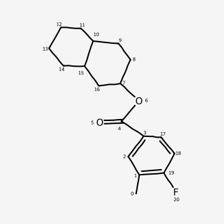 Cc1cc(C(=O)OC2CCC3CCCCC3C2)ccc1F